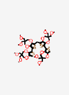 COCC1(COC)COc2csc(-c3sc(Cc4sc(-c5scc6c5OCC(COC)(COC)CO6)c5c4OCC(COC)(COC)CO5)c4c3OCC(COC)(COC)CO4)c2OC1